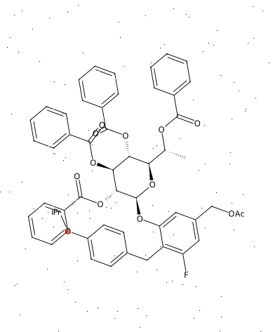 CC(=O)OCc1cc(F)c(Cc2ccc(OC(C)C)cc2)c(O[C@@H]2O[C@H]([C@@H](C)OC(=O)c3ccccc3)[C@@H](OC(=O)c3ccccc3)[C@H](OC(=O)c3ccccc3)[C@H]2OC(=O)c2ccccc2)c1